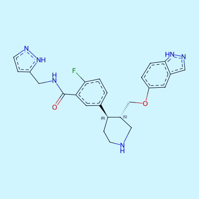 O=C(NCc1ccn[nH]1)c1cc([C@@H]2CCNC[C@H]2COc2ccc3[nH]ncc3c2)ccc1F